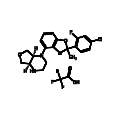 CC1(c2ccc(Cl)cc2F)Oc2cccc(N3CCN[C@H]4COC[C@H]43)c2O1.O=C(O)C(F)(F)F